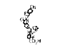 N#Cc1ccc(COc2nc3c(cc2Cl)CCN(Cc2nc4ccc(C(=O)O)c(F)c4n2C[C@@H]2CCO2)C3)c(F)c1